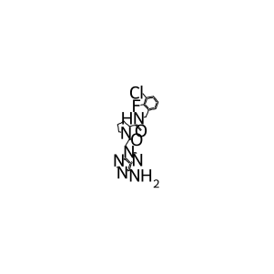 Nc1ncnc2c1ncn2CC(=O)N1CCCC1C(=O)NCc1cccc(Cl)c1F